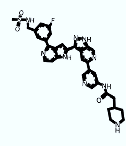 CS(=O)(=O)NCc1cc(F)cc(-c2nccc3[nH]c(-c4n[nH]c5cnc(-c6cncc(NC(=O)CC7CCNCC7)c6)cc45)cc23)c1